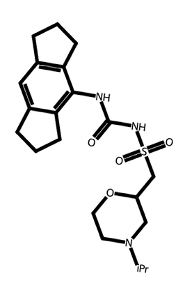 CC(C)N1CCOC(CS(=O)(=O)NC(=O)Nc2c3c(cc4c2CCC4)CCC3)C1